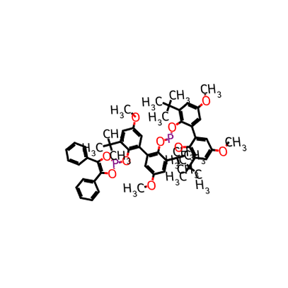 COc1cc(-c2cc(OC)cc(C(C)(C)C)c2Op2oc3c(C(C)(C)C)cc(OC)cc3c3cc(OC)cc(C(C)(C)C)c3o2)c(OP2OC(c3ccccc3)=C(c3ccccc3)O2)c(C(C)(C)C)c1